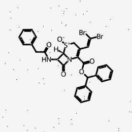 O=C(Cc1ccccc1)NC1C(=O)N2C(C(=O)OC(c3ccccc3)c3ccccc3)=C(C=C(Br)Br)C[S+]([O-])[C@@H]12